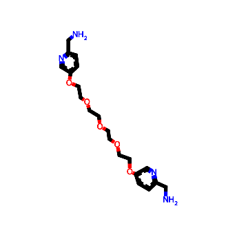 NCc1ccc(OCCOCCOCCOCCOc2ccc(CN)nc2)cn1